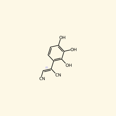 N#C/C=C(\C#N)c1ccc(O)c(O)c1O